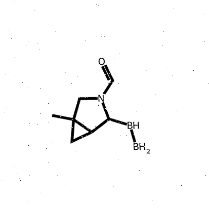 BBC1C2CC2(C)CN1C=O